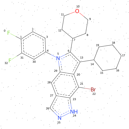 Fc1ccc(-n2c(C3CCOCC3)c(C3CCCCC3)c3c(Br)c4[nH]ncc4cc32)cc1F